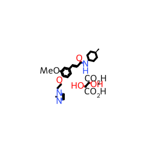 COc1cc(/C=C/C(=O)N[C@H]2CC[C@H](C)CC2)ccc1OCCn1ccnc1.O=C(O)C(O)C(O)C(=O)O